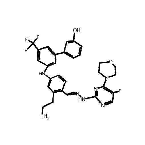 CCCc1cc(Nc2cc(-c3cccc(O)c3)cc(C(F)(F)F)c2)ccc1/C=N/Nc1ncc(F)c(N2CCOCC2)n1